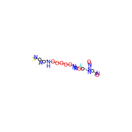 CCn1c2ccc(CNCCOCCOCCOCCOCCOCCn3cc(COc4ccc(CCc5nc6cc(-c7c(C)noc7C)ccc6n5CCN5CCOCC5)cc4F)nn3)cc2c2ccc(-c3cscn3)cc21